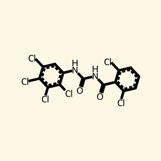 O=C(NC(=O)c1c(Cl)cccc1Cl)Nc1cc(Cl)c(Cl)c(Cl)c1Cl